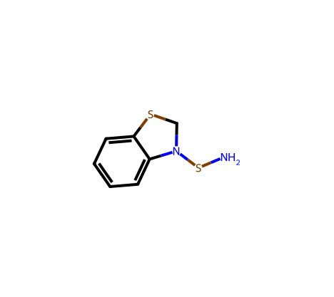 NSN1CSc2ccccc21